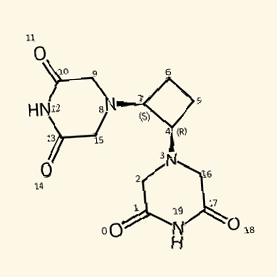 O=C1CN([C@@H]2CC[C@@H]2N2CC(=O)NC(=O)C2)CC(=O)N1